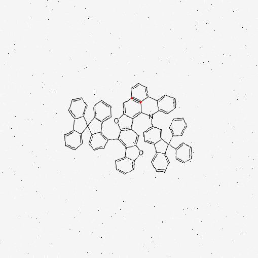 c1ccc(-c2ccccc2N(c2ccc3c(c2)C(c2ccccc2)(c2ccccc2)c2ccccc2-3)c2cccc3oc4c(-c5cccc6c5-c5ccccc5C65c6ccccc6-c6ccccc65)c5c(cc4c23)oc2ccccc25)cc1